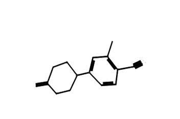 N#Cc1ccc(C2CCC(=O)CC2)cc1F